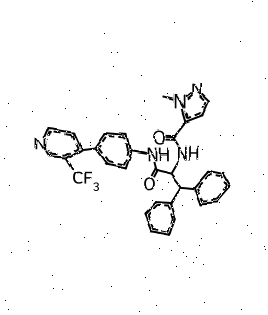 Cn1nccc1C(=O)NC(C(=O)Nc1ccc(-c2ccncc2C(F)(F)F)cc1)C(c1ccccc1)c1ccccc1